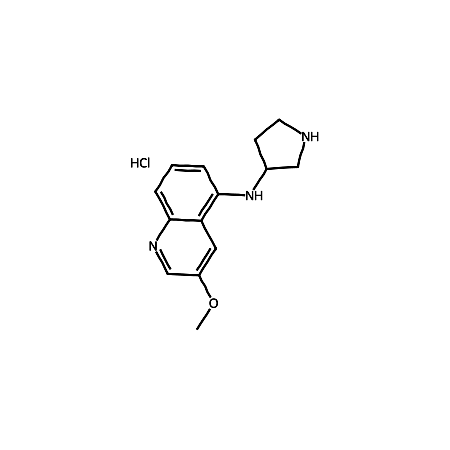 COc1cnc2cccc(NC3CCNC3)c2c1.Cl